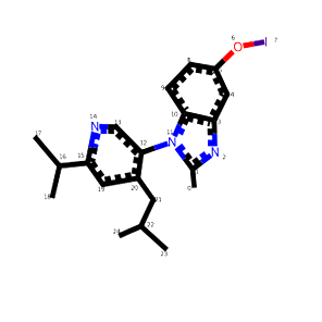 Cc1nc2cc(OI)ccc2n1-c1cnc(C(C)C)cc1CC(C)C